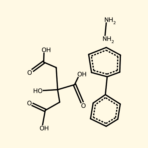 NN.O=C(O)CC(O)(CC(=O)O)C(=O)O.c1ccc(-c2ccccc2)cc1